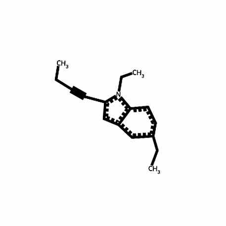 CCC#Cc1cc2cc(CC)ccc2n1CC